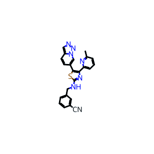 Cc1cccc(-c2nc(NCc3cccc(C#N)c3)sc2-c2ccc3cnnn3c2)n1